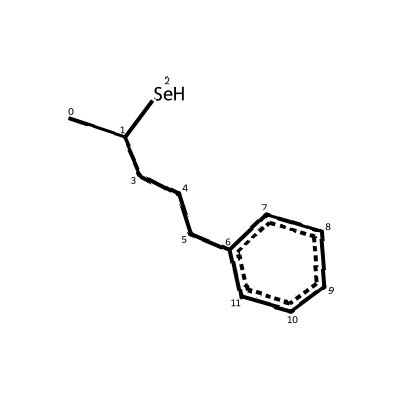 CC([SeH])CCCc1ccccc1